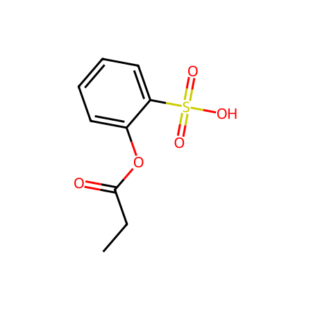 CCC(=O)Oc1ccccc1S(=O)(=O)O